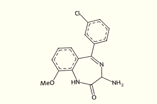 COc1cccc2c1NC(=O)C(N)N=C2c1cccc(Cl)c1